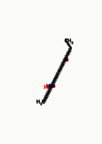 CCCCCCCC/C=C\CCCCCCCCCCCC(=O)CCCCCCCCCCCCCCCCCCCCCCCCCCCCCC(=O)NC[C@@H](O)CCCCCCCCCCCCCCCC